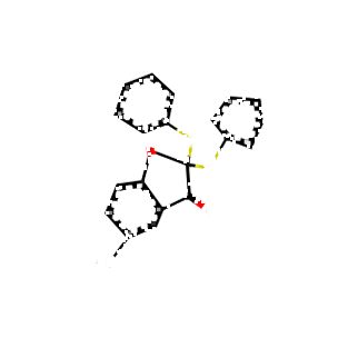 Cc1ccc2c(c1)C(=O)C(Sc1ccccc1)(Sc1ccccc1)C2=O